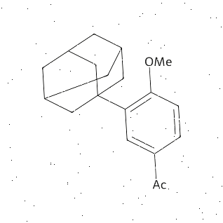 COc1ccc(C(C)=O)cc1C12CC3CC(CC(C3)C1)C2